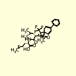 CSCC[C@H](NC(=O)[C@H](CC(C)C)N[C@@H](C(F)(F)F)C1(S(C)(=O)=O)C=CC(c2ccccc2)=CC1)C(=O)O